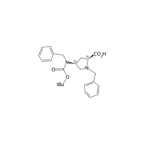 CC(C)(C)OC(=O)N(Cc1ccccc1)[C@H]1C[C@@H](C(=O)O)N(Cc2ccccc2)C1